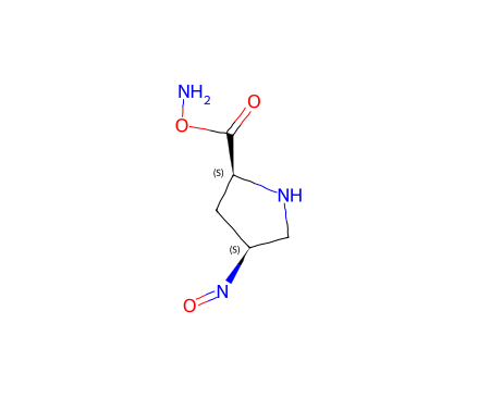 NOC(=O)[C@@H]1C[C@H](N=O)CN1